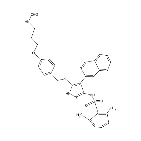 Cc1cccc(C)c1S(=O)(=O)Nc1n[nH]c(SCc2ccc(OCCCNC=O)cc2)c1-c1cc2ccccc2cn1